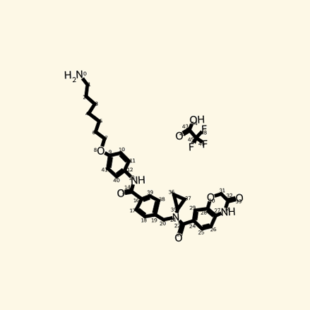 NCCCCCCCOc1ccc(NC(=O)c2ccc(CN(C(=O)c3ccc4c(c3)OCC(=O)N4)C3CC3)cc2)cc1.O=C(O)C(F)(F)F